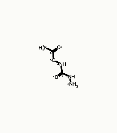 NNC(=O)NOC(N)=O